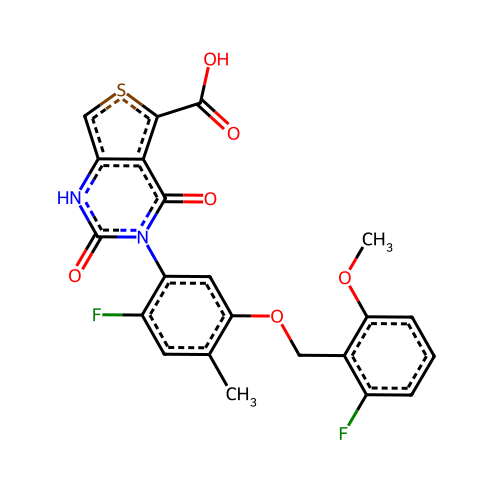 COc1cccc(F)c1COc1cc(-n2c(=O)[nH]c3csc(C(=O)O)c3c2=O)c(F)cc1C